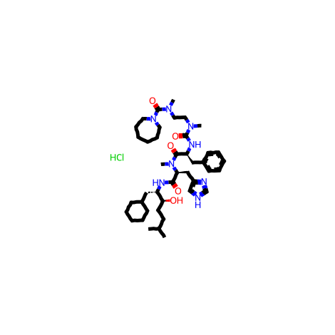 CC(C)CC[C@H](O)[C@H](CC1CCCCC1)NC(=O)[C@H](Cc1c[nH]cn1)N(C)C(=O)[C@H](Cc1ccccc1)NC(=O)N(C)CCN(C)C(=O)N1CCCCCC1.Cl